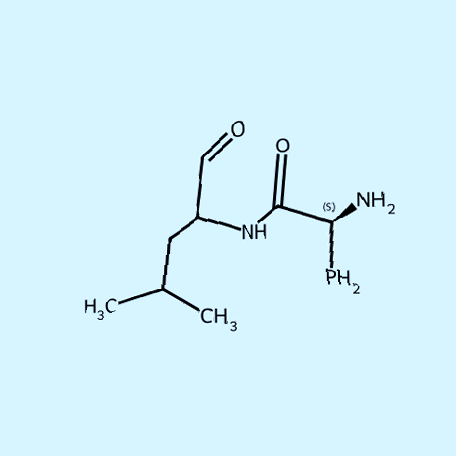 CC(C)CC(C=O)NC(=O)[C@@H](N)P